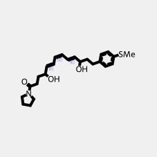 CSc1ccc(CCC(O)/C=C/C=C\C=C\C(O)CCC(=O)N2CCCC2)cc1